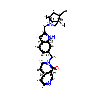 CC1C[C@@H]2C[C@H]1CN2Cc1cc2ccc(Cn3ccc4ccncc4c3=O)cc2[nH]1